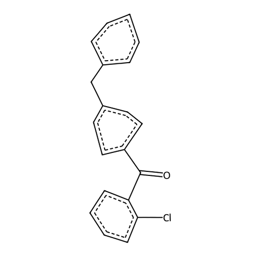 O=C(c1ccc(Cc2ccccc2)cc1)c1ccccc1Cl